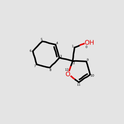 OCC1(C2=CCCCC2)CC=CO1